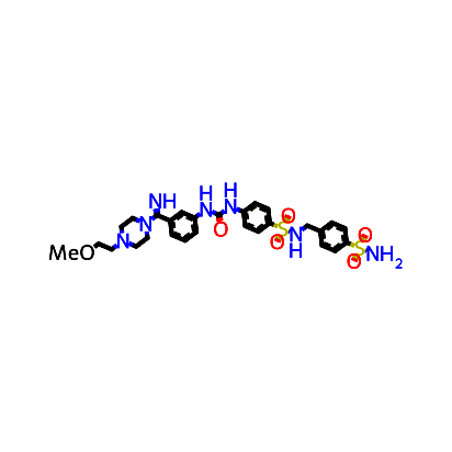 COCCN1CCN(C(=N)c2cccc(NC(=O)Nc3ccc(S(=O)(=O)NCc4ccc(S(N)(=O)=O)cc4)cc3)c2)CC1